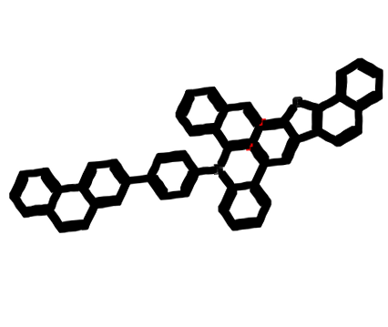 c1ccc(N(c2ccc(-c3ccc4c(ccc5ccccc54)c3)cc2)c2cccc3ccccc23)c(-c2ccc3oc4c5ccccc5ccc4c3c2)c1